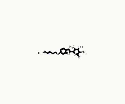 CC/C=C/CCOc1ccc2cc(-c3oc(=O)c(C)c(O)c3C)oc2c1